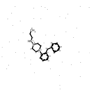 CCCNN1CCN(c2ccccc2Cc2ccccc2)CC1